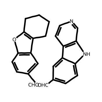 O=Cc1ccc2[nH]c3cnccc3c2c1.O=Cc1ccc2oc3c(c2c1)CCCC3